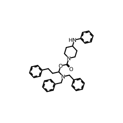 O=C(OC(CCc1ccccc1)N(Cc1ccccc1)Cc1ccccc1)N1CCC(Nc2ccccc2)CC1